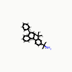 CC(C)(N)c1ccc2c(c1)C(C)(C)c1cc(-c3ccccc3)c3ccccc3c1-2